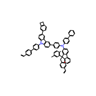 C=Cc1ccc(CC2(c3cc(C)ccc3C)c3ccccc3-c3ccc(N(c4ccc(-c5ccccc5)cc4)c4ccc(-c5ccc6c(c5)c5cc(-c7ccc8c(c7)CC8)ccc5n6-c5ccc(-c6ccc(C=C)cc6)cc5)cc4)cc32)cc1